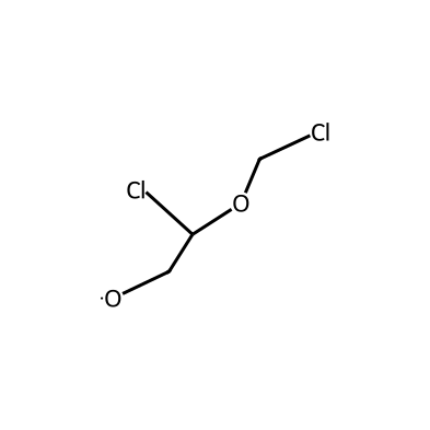 [O]CC(Cl)OCCl